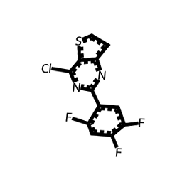 Fc1cc(F)c(-c2nc(Cl)c3sccc3n2)cc1F